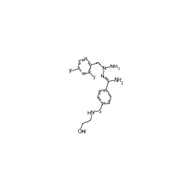 N/C(=N\N(N)Cc1ncc(F)cc1F)c1ccc(SNCCO)cc1